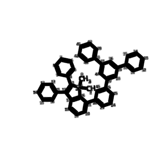 C[Si]1(C)C(c2ccccc2)=C(c2ccccc2)c2cccc(-c3cccc(-c4cc(-c5ccccc5)cc(-c5ccccc5)c4)c3)c21